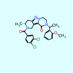 COc1ccccc1C(C)N1CCn2nc3c(c2C1=O)CN(C(=O)c1ccc(Cl)c(Cl)c1)[C@H](C)C3